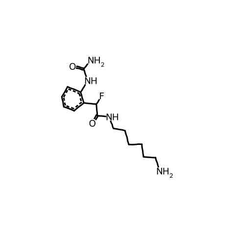 NCCCCCCNC(=O)C(F)c1ccccc1NC(N)=O